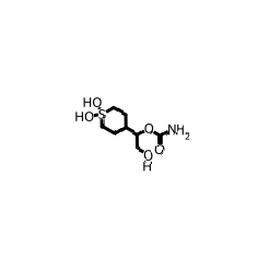 NC(=O)OC(CO)C1CCS(O)(O)CC1